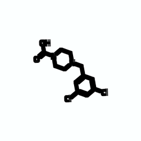 O=C(O)N1CCN(Cc2cc(Cl)cc(Cl)c2)CC1